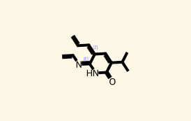 C=C/C=C1/C=C(C(C)C)C(=O)N/C1=N/C=C